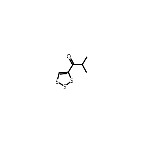 CC(C)C(=O)C1=CSSS1